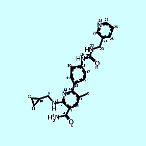 Cc1cc(C(N)=O)c(NCC2CC2)nc1-c1ccc(NC(=O)NCc2cccnc2)cc1